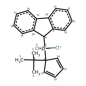 CC(C)(C)[C]1([Zr]([Cl])([Cl])[CH]2c3ccccc3-c3ccccc32)C=CC=C1